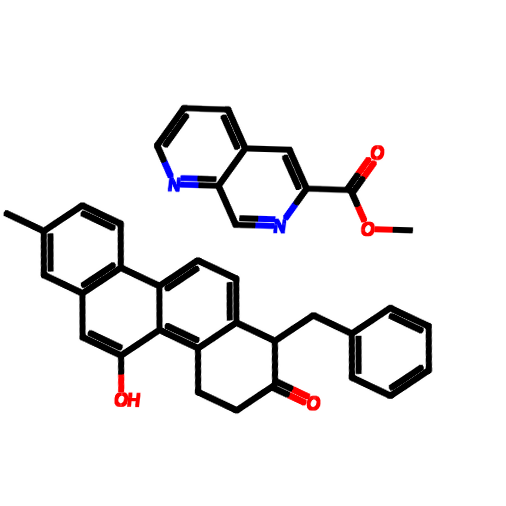 COC(=O)c1cc2cccnc2cn1.Cc1ccc2c(c1)cc(O)c1c3c(ccc12)C(Cc1ccccc1)C(=O)CC3